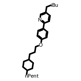 CCCCCC1CCC(CCCOc2ccc(-c3ccc(CC(C)CC)cn3)cc2)CC1